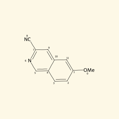 COc1ccc2cnc(C#N)cc2c1